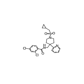 O=C(NCC1(c2ccccn2)CCN(S(=O)(=O)CC2CC2)CC1)c1ccc(Cl)cc1Cl